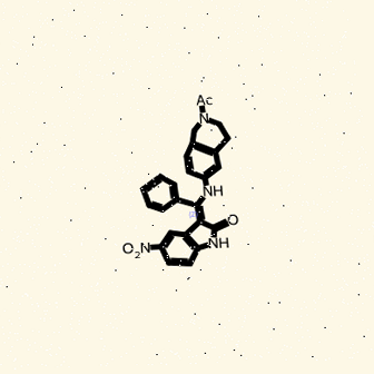 CC(=O)N1CCc2cc(N/C(=C3\C(=O)Nc4ccc([N+](=O)[O-])cc43)c3ccccc3)ccc2C1